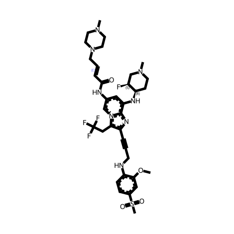 COc1cc(S(C)(=O)=O)ccc1NCC#Cc1nc2c(N[C@@H]3CCN(C)C[C@@H]3F)cc(NC(=O)/C=C/CN3CCN(C)CC3)cn2c1CC(F)(F)F